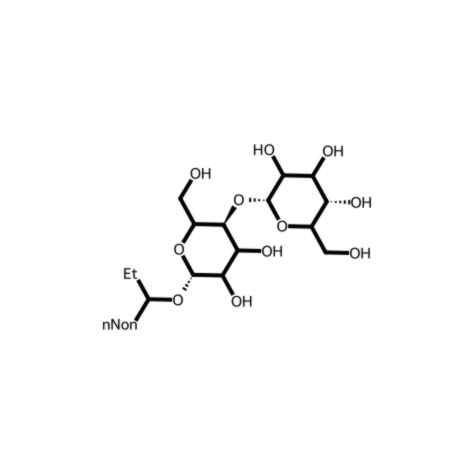 CCCCCCCCCC(CC)O[C@@H]1OC(CO)[C@@H](O[C@H]2OC(CO)[C@@H](O)C(O)C2O)C(O)C1O